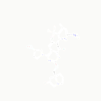 Cc1cc(N)nc(-c2c(Cl)cc3c(N4CC[C@H](O)C4)nc(OC[C@@]45CCCN4C[C@H](F)C5)nc3c2F)c1C(F)(F)F